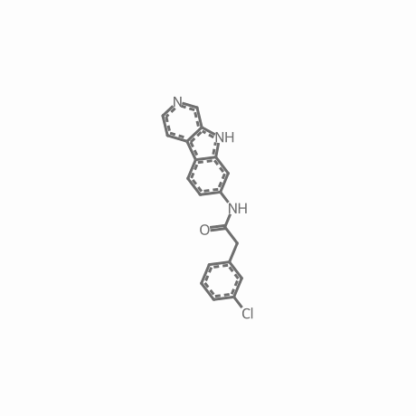 O=C(Cc1cccc(Cl)c1)Nc1ccc2c(c1)[nH]c1cnccc12